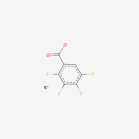 O=C([O-])c1cc(F)c(F)c(F)c1F.[K+]